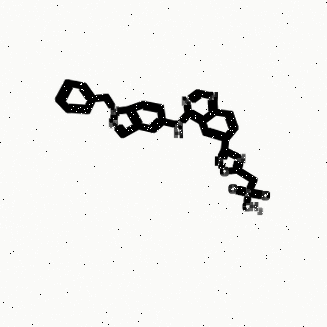 CS(=O)(=O)Cc1nc(-c2ccc3ncnc(Nc4ccc5c(cnn5Cc5ccccc5)c4)c3c2)no1